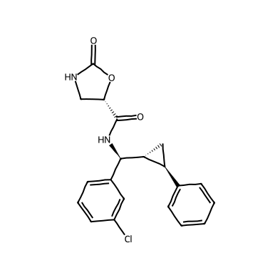 O=C1NC[C@@H](C(=O)N[C@H](c2cccc(Cl)c2)[C@@H]2C[C@H]2c2ccccc2)O1